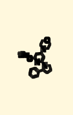 CC(C)(C)Oc1cc(N2CCOCC2)cc(N2CCCC2c2ccccc2)n1